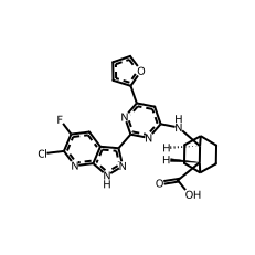 O=C(O)[C@H]1C2CCC(CC2)[C@@H]1Nc1cc(-c2ccco2)nc(-c2n[nH]c3nc(Cl)c(F)cc23)n1